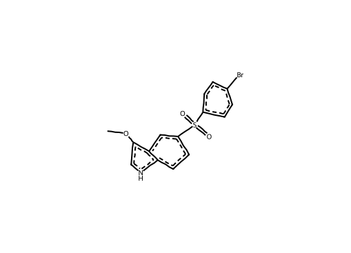 COc1c[nH]c2ccc(S(=O)(=O)c3ccc(Br)cc3)cc12